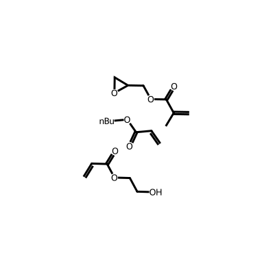 C=C(C)C(=O)OCC1CO1.C=CC(=O)OCCCC.C=CC(=O)OCCO